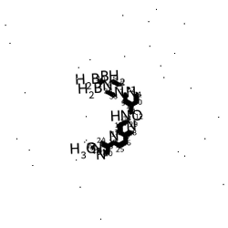 BC(B)(B)N1CCN(c2cc(C(=O)Nc3cc4nc(-c5cnn(C)c5)ccc4cn3)ccn2)CC1